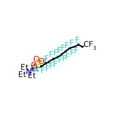 CC[N+](CC)(CC)CC.O=S(=O)([O-])C(F)(F)C(F)(F)C(F)(F)C(F)(F)C(F)(F)C(F)(F)C(F)(F)C(F)(F)C(F)(F)C(F)CC(F)(F)F